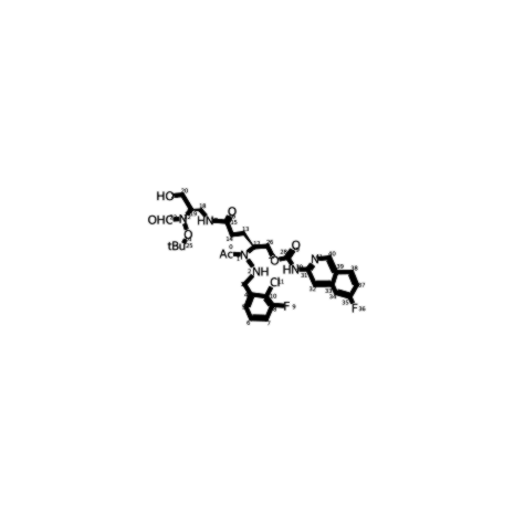 CC(=O)N(NCc1cccc(F)c1Cl)[C@@H](CCC(=O)NC[C@H](CO)N(C=O)OC(C)(C)C)COC(=O)Nc1cc2cc(F)ccc2cn1